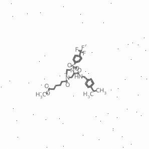 COC(=O)CCCCC(=O)N1CCN(S(=O)(=O)c2ccc(C(F)(F)F)cc2)C(C(=O)NCc2ccc(C(C)C)cc2)C1